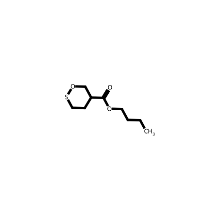 CCCCOC(=O)C1CCSOC1